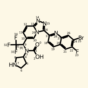 O=C(O)N(C1CCNC1)[C@H](c1ccc2nnc(-c3ccc4cc(F)c(Br)cc4n3)n2c1)C(F)(F)F